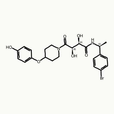 C[C@H](NC(=O)[C@H](O)[C@@H](O)C(=O)N1CCC(Oc2ccc(O)cc2)CC1)c1ccc(Br)cc1